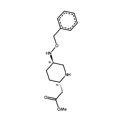 COC(=O)C[C@@H]1CC[C@@H](NOCc2ccccc2)CN1